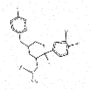 CN(C)CC1CC(Cc2ccc(F)cc2)CCC1(O)c1ccc(Cl)c(C(F)(F)F)c1